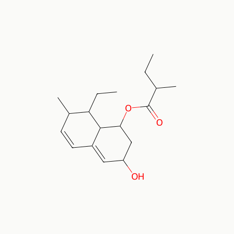 CCC(C)C(=O)OC1CC(O)C=C2C=CC(C)C(CC)C21